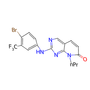 CCCn1c(=O)ccc2cnc(Nc3ccc(Br)c(C(F)(F)F)c3)nc21